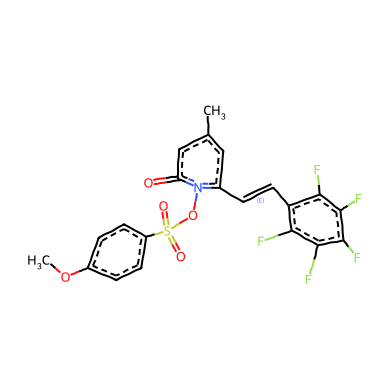 COc1ccc(S(=O)(=O)On2c(/C=C/c3c(F)c(F)c(F)c(F)c3F)cc(C)cc2=O)cc1